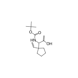 C=CC1(C(NC(=O)OC(C)(C)C)C(=C)O)CCCC1